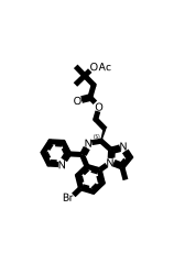 CC(=O)OC(C)(C)CC(=O)OCC[C@@H]1N=C(c2ccccn2)c2cc(Br)ccc2-n2c(C)cnc21